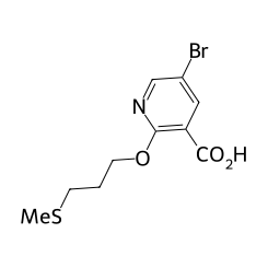 CSCCCOc1ncc(Br)cc1C(=O)O